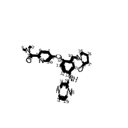 CN(C)C(=O)c1ccc(Oc2ccc(Nc3cnccn3)cc2CN2CCCC2=O)cn1